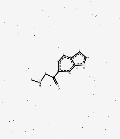 CNCC(=O)c1ccc2ccsc2c1